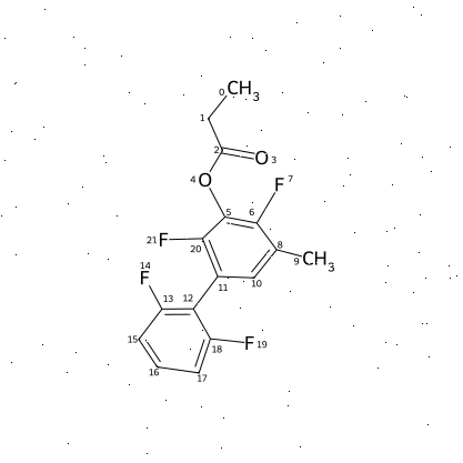 CCC(=O)Oc1c(F)c(C)cc(-c2c(F)cccc2F)c1F